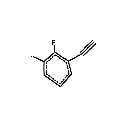 C#Cc1cccc([CH2])c1F